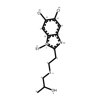 CCn1c(CCSCC(C)O)nc2cc(Cl)c(Cl)cc21